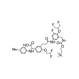 CN(Cc1cc(NC(=O)CCc2cc(C(Nc3ccc(C#N)cc3)C(=O)O)ccc2OCC(F)F)cc(F)c1OC(CF)CF)C(=O)OCC[Si](C)(C)C